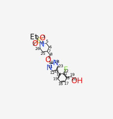 CCS(=O)(=O)N1CCC(COc2ncc(-c3cccc(CO)c3F)cn2)CC1